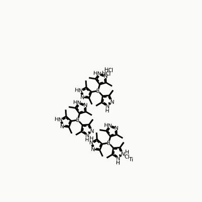 Cc1n[nH]c(C)c1B(c1c(C)n[nH]c1C)c1c(C)n[nH]c1C.Cc1n[nH]c(C)c1B(c1c(C)n[nH]c1C)c1c(C)n[nH]c1C.Cc1n[nH]c(C)c1B(c1c(C)n[nH]c1C)c1c(C)n[nH]c1C.Cl.Cl.Cl.[Ti]